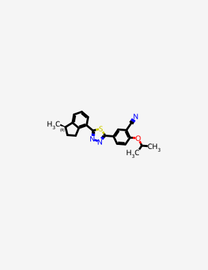 CC(C)Oc1ccc(-c2nnc(-c3cccc4c3CC[C@H]4C)s2)cc1C#N